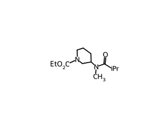 CCOC(=O)N1CCCC(N(C)C(=O)C(C)C)C1